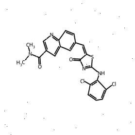 CN(C)C(=O)c1cnc2ccc(C=C3SC(Nc4c(Cl)cccc4Cl)=NC3=O)cc2c1